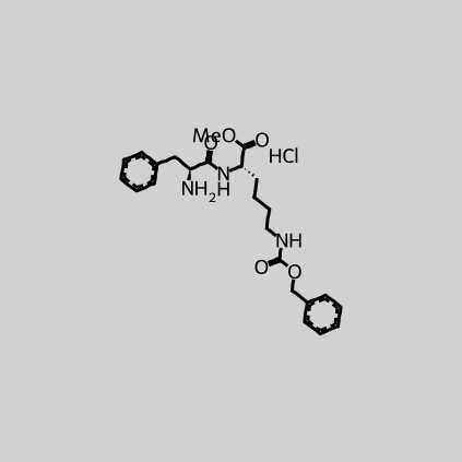 COC(=O)[C@H](CCCCNC(=O)OCc1ccccc1)NC(=O)[C@@H](N)Cc1ccccc1.Cl